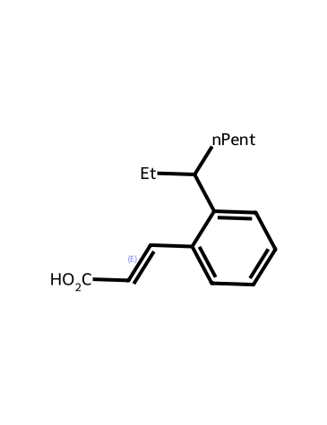 CCCCCC(CC)c1ccccc1/C=C/C(=O)O